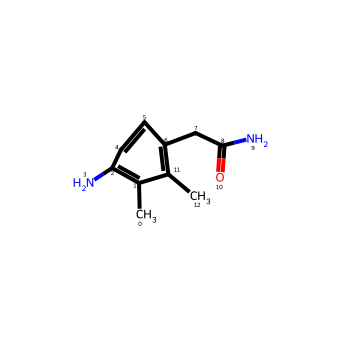 Cc1c(N)ccc(CC(N)=O)c1C